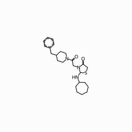 O=C(CN1C(=O)CSC1NC1CCCCCC1)N1CCC(Cc2ccccc2)CC1